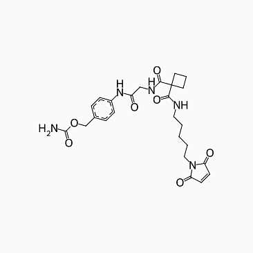 NC(=O)OCc1ccc(NC(=O)CNC(=O)C2(C(=O)NCCCCCN3C(=O)C=CC3=O)CCC2)cc1